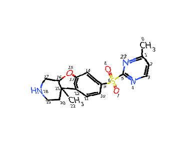 Cc1ccnc(S(=O)(=O)c2ccc3c(c2)OC2CNCCC32C)n1